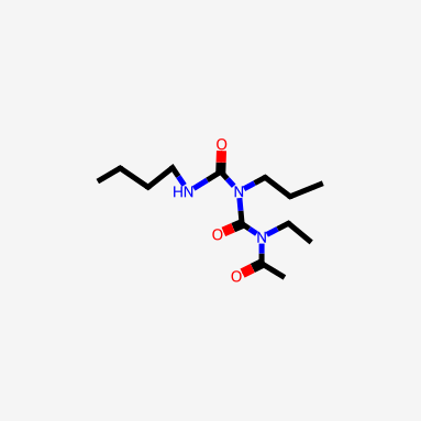 CCCCNC(=O)N(CCC)C(=O)N(CC)C(C)=O